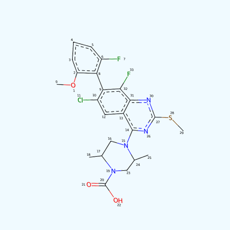 COc1cccc(F)c1-c1c(Cl)cc2c(N3CC(C)N(C(=O)O)CC3C)nc(SC)nc2c1F